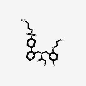 CCCNS(=O)(=O)c1ccc(-c2ccccc2CN(Cc2cc(Cl)ccc2OCCC)C(=O)CBr)cc1